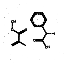 C=C(C)C(=O)OO.O=C(O)C(I)c1ccccc1